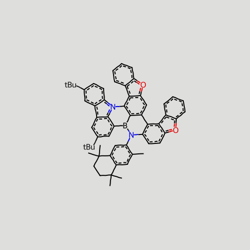 Cc1cc2c(cc1N1B3c4c(cc5oc6ccccc6c5c4-n4c5ccc(C(C)(C)C)cc5c5cc(C(C)(C)C)cc3c54)-c3c1ccc1oc4ccccc4c31)C(C)(C)CCC2(C)C